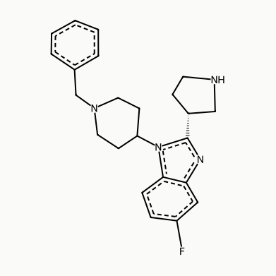 Fc1ccc2c(c1)nc([C@@H]1CCNC1)n2C1CCN(Cc2ccccc2)CC1